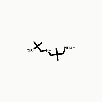 CC(=O)NCC(C)(C)CNCC(C)(C)C(C)(C)C